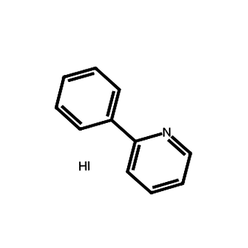 I.c1ccc(-c2ccccn2)cc1